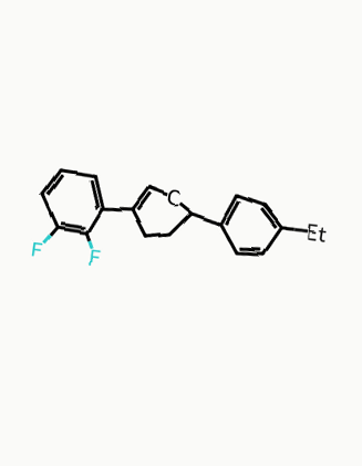 CCc1ccc(C2CC=C(c3cccc(F)c3F)CC2)cc1